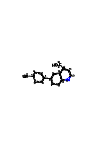 CC(C)(C)c1ccc(-c2ccc3nccc(C(=O)O)c3c2)cc1